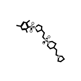 Cc1cc(C)c(S(=O)(=O)N2CCC(CCS(=O)(=O)N3CCC(CCN4CCCC4)CC3)C2)c(C)c1